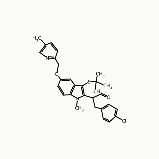 Cc1ccc(COc2ccc3c(c2)c(SC(C)(C)C)c(C(C=O)Cc2ccc(Cl)cc2)n3C)nc1